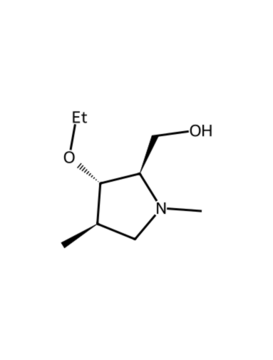 CCO[C@H]1[C@H](C)CN(C)[C@@H]1CO